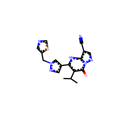 CC(C)c1c(-c2cnn(Cc3cncs3)c2)[nH]c2c(C#N)cnn2c1=O